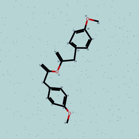 C=C(Cc1ccc(OC)cc1)OC(=C)Cc1ccc(OC)cc1